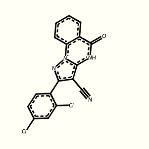 N#Cc1c(-c2ccc(Cl)cc2Cl)nn2c1[nH]c(=O)c1ccccc12